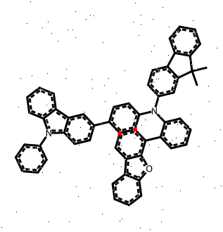 CC1(C)c2ccccc2-c2ccc(N(c3ccc(-c4ccc5c(c4)c4ccccc4n5-c4ccccc4)cc3)c3ccccc3-c3cccc4c3oc3ccccc34)cc21